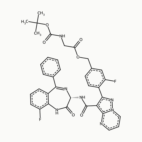 CC(C)(C)OC(=O)NCC(=O)OCc1ccc(-c2nn3cccnc3c2C(=O)N[C@H]2N=C(c3ccccc3)c3cccc(F)c3NC2=O)c(F)c1